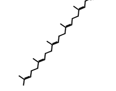 CC(C)=CCC/C(C)=C/CC/C(C)=C/CC/C(C)=C/CC/C(C)=C/CBr